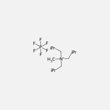 CC(C)C[N+](C)(CC(C)C)CC(C)C.F[P-](F)(F)(F)(F)F